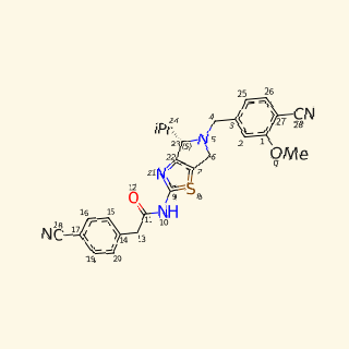 COc1cc(CN2Cc3sc(NC(=O)Cc4ccc(C#N)cc4)nc3[C@@H]2C(C)C)ccc1C#N